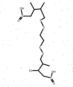 CCC(CS(=O)O)C(C)CSSCCSSCC(C)C(C)CS(=O)O